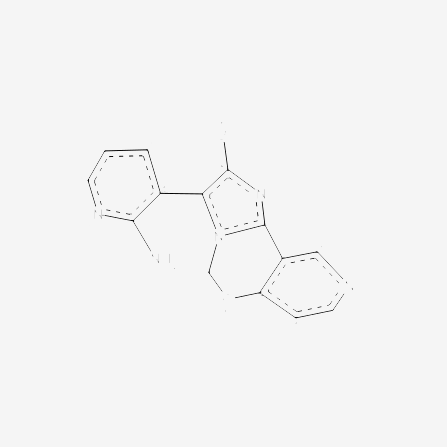 Nc1ncccc1-c1c(Br)nc2n1COc1ccncc1-2